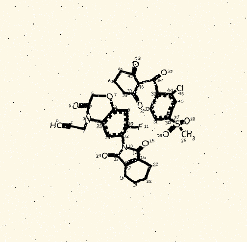 C#CCN1C(=O)COc2cc(F)c(N3C(=O)C4=C(CCCC4)C3=O)cc21.CS(=O)(=O)c1ccc(C(=O)C2C(=O)CCCC2=O)c(Cl)c1